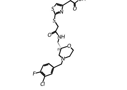 O=C(O)Cc1csc(SCC(=O)NC[C@H]2CN(Cc3ccc(F)c(Cl)c3)CCO2)n1